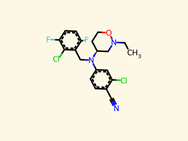 CCN1C[C@@H](N(Cc2c(F)ccc(F)c2Cl)c2ccc(C#N)c(Cl)c2)CCO1